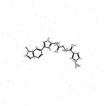 Cn1ncc2ccc(-c3csc(NC(=O)CNC(=O)c4ccn(C(C)(C)C)c4)n3)cc21